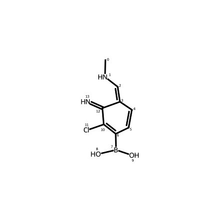 CN/C=C1/C=CC(B(O)O)=C(Cl)C1=N